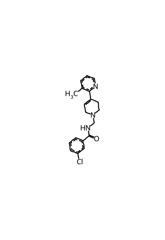 Cc1cccnc1C1=CCN(CNC(=O)c2cccc(Cl)c2)CC1